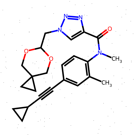 Cc1cc(C#CC2CC2)ccc1N(C)C(=O)c1cn(CC2OCC3(CC3)CO2)nn1